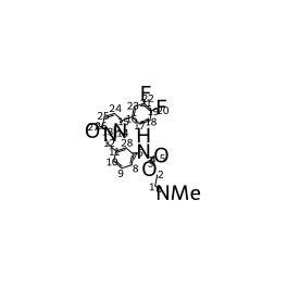 CNCCOC(=O)Nc1cccc(Cn2nc(-c3ccc(F)c(F)c3)ccc2=O)c1